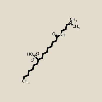 CCCCCCCC(CCCCCCCC(=O)NCCCN(C)C)S(=O)(=O)O